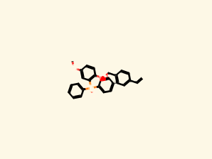 C=Cc1ccc(COc2ccc(OC)cc2P(=O)(c2ccccc2)c2ccccc2)cc1